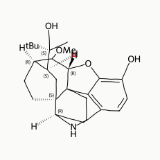 COC1[C@@H]2CC[C@@]3(C[C@@H]2[C@](C)(O)C(C)(C)C)[C@H]2Cc4ccc(O)c5c4C3(CCN2)[C@H]1O5